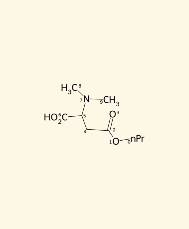 CCCOC(=O)CC(C(=O)O)N(C)C